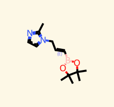 Cc1nccn1C/C=C/B1OC(C)(C)C(C)(C)O1